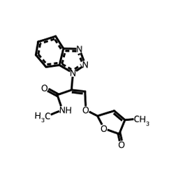 CNC(=O)/C(=C\OC1C=C(C)C(=O)O1)n1nnc2ccccc21